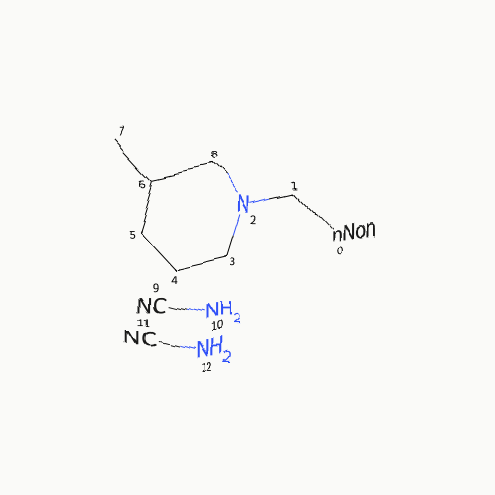 CCCCCCCCCCN1CCCC(C)C1.N#CN.N#CN